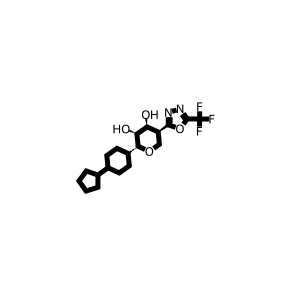 O[C@@H]1[C@H](O)[C@@H](c2nnc(C(F)(F)F)o2)CO[C@@H]1C1CCC(C2CCCC2)CC1